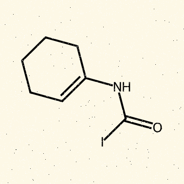 O=C(I)NC1=CCCCC1